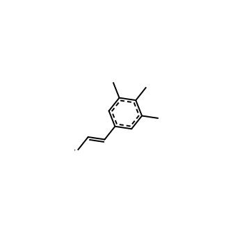 [CH2]/C=C/c1cc(C)c(C)c(C)c1